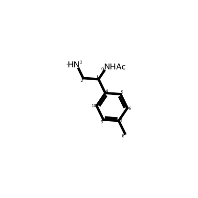 CC(=O)NC(C[NH])c1ccc(C)cc1